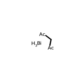 CC(=O)CC(C)=O.[BiH3]